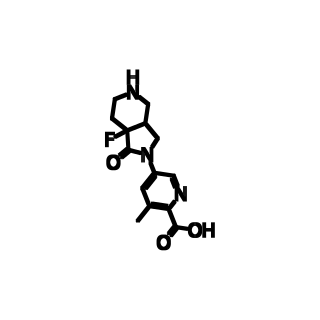 Cc1cc(N2CC3CNCCC3(F)C2=O)cnc1C(=O)O